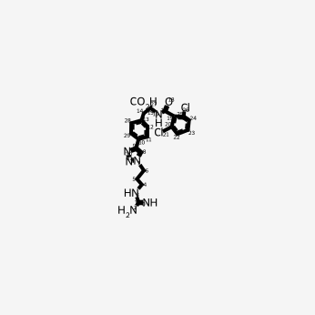 N=C(N)NCCCn1cc(-c2ccc(C[C@H](NC(=O)c3c(Cl)cccc3Cl)C(=O)O)cc2)nn1